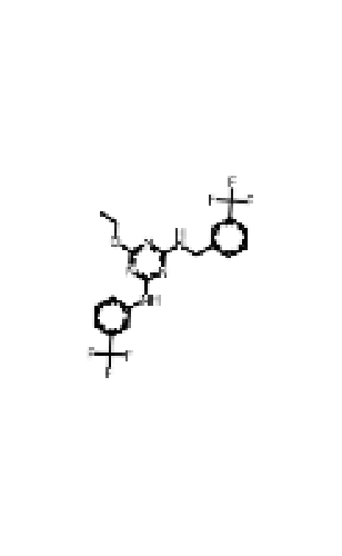 CCOc1nc(NCc2cccc(C(F)(F)F)c2)nc(Nc2cccc(C(F)(F)F)c2)n1